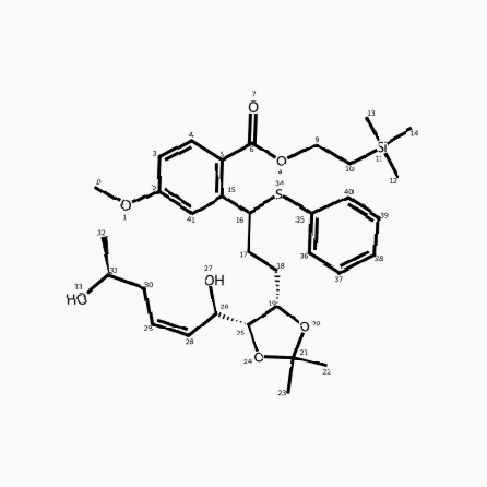 COc1ccc(C(=O)OCC[Si](C)(C)C)c(C(CC[C@@H]2OC(C)(C)O[C@@H]2C(O)/C=C\C[C@H](C)O)Sc2ccccc2)c1